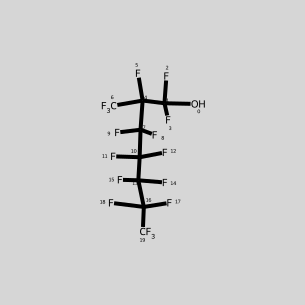 OC(F)(F)C(F)(C(F)(F)F)C(F)(F)C(F)(F)C(F)(F)C(F)(F)C(F)(F)F